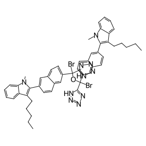 CCCCCc1c(-c2ccc3cc(C(Br)(OC(Br)(c4ccc5cc(-c6c(CCCCC)c7ccccc7n6C)ccc5c4)c4nnn[nH]4)c4nnn[nH]4)ccc3c2)n(C)c2ccccc12